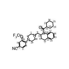 N#Cc1ccc(N2CCN(CC3CCc4ccccc4N3C(=O)C3CCCCC3)CC2)c(OC(F)(F)F)c1